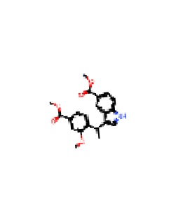 COC(=O)c1ccc(C(C)c2c[nH]c3ccc(C(=O)OC)cc23)c(OC)c1